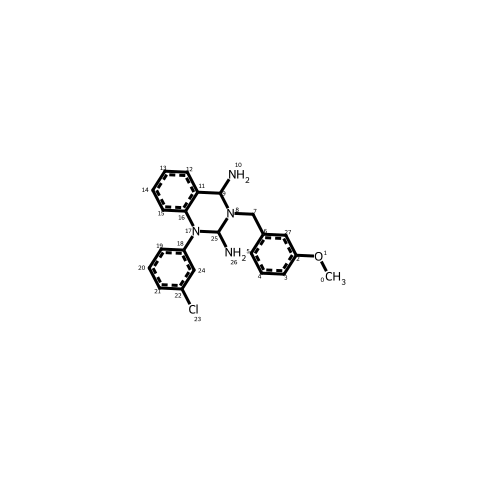 COc1cccc(CN2C(N)c3ccccc3N(c3cccc(Cl)c3)C2N)c1